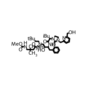 CCC(C)C(C(=O)NC(Cc1ccccc1)C(O)CN(CCC(C)(C)C)NC(=O)CC(C)(C)CNC(=O)OC)N1CCN(Cc2cccc(CO)n2)C1=O